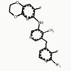 Cc1c(Cc2ccnc(N)c2F)cncc1Nc1nc2c(cc1F)OCCO2